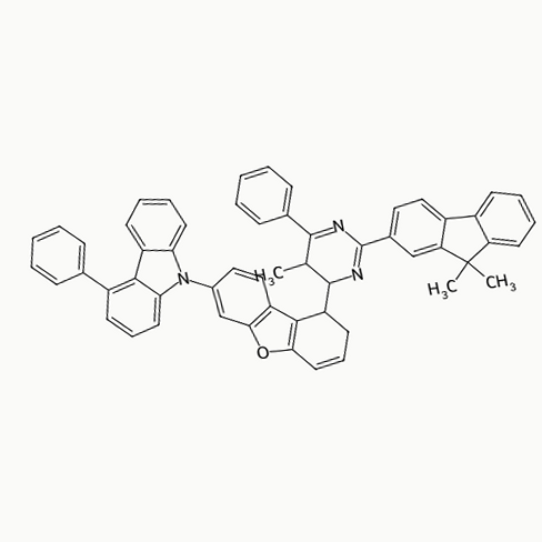 CC1C(c2ccccc2)=NC(c2ccc3c(c2)C(C)(C)c2ccccc2-3)=NC1C1CC=Cc2oc3cc(-n4c5ccccc5c5c(-c6ccccc6)cccc54)ccc3c21